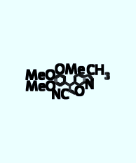 COc1cc(C2C(C#N)=COC3C2=CC=C2C(C)=CN=C23)cc(OC)c1OC